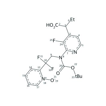 CCC(C(=O)O)c1ccnc(N(CC(F)(F)c2cccc[n+]2[O-])C(=O)OC(C)(C)C)c1F